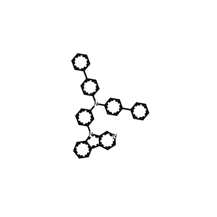 c1ccc(-c2ccc(N(c3ccc(-c4ccccc4)cc3)c3cccc(-n4c5ccccc5c5ccncc54)c3)cc2)cc1